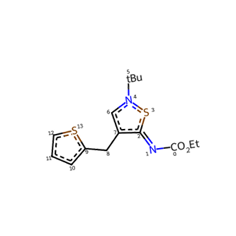 CCOC(=O)/N=c1\sn(C(C)(C)C)cc1Cc1cccs1